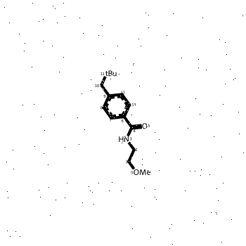 COCCNC(=O)c1ccc(CC(C)(C)C)cc1